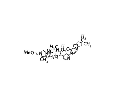 COCCN1CCn2nc(NC3=CC(c4ccnc(-n5ccn6c7c(cc6c5=O)CC(C)(C)C7)c4CO)=CN(C)C3O)cc2[C@H]1C